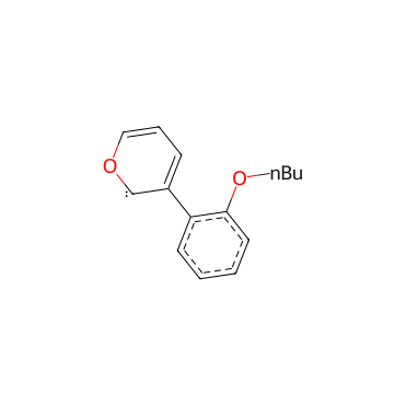 CCCCOc1ccccc1C1=CC=CO[C]1